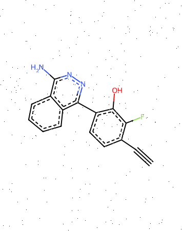 C#Cc1ccc(-c2nnc(N)c3ccccc23)c(O)c1F